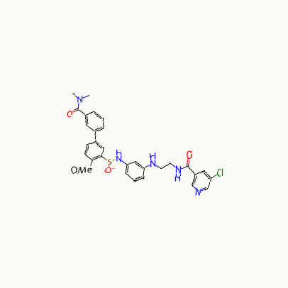 COc1ccc(-c2cccc(C(=O)N(C)C)c2)cc1[S+]([O-])Nc1cccc(NCCNC(=O)c2cncc(Cl)c2)c1